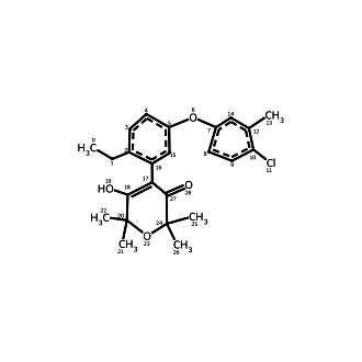 CCc1ccc(Oc2ccc(Cl)c(C)c2)cc1C1=C(O)C(C)(C)OC(C)(C)C1=O